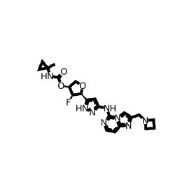 CC1(NC(=O)O[C@H]2CO[C@@H](c3cc(Nc4nccc5nc(CN6CCC6)cn45)n[nH]3)[C@H]2F)CC1